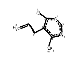 C=CCc1c(Cl)ncnc1C(F)(F)F